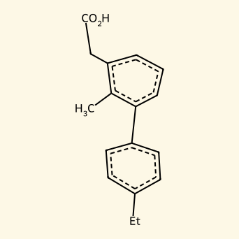 CCc1ccc(-c2cccc(CC(=O)O)c2C)cc1